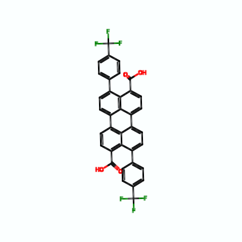 O=C(O)c1ccc2c3ccc(-c4ccc(C(F)(F)F)cc4)c4c(C(=O)O)ccc(c5ccc(-c6ccc(C(F)(F)F)cc6)c1c25)c43